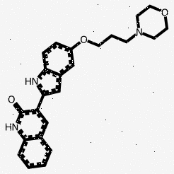 O=c1[nH]c2ccccc2cc1-c1cc2cc(OCCCN3CCOCC3)ccc2[nH]1